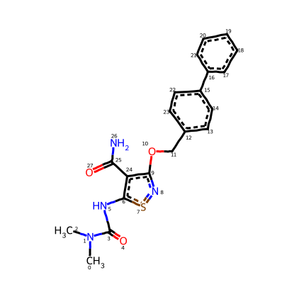 CN(C)C(=O)Nc1snc(OCc2ccc(-c3ccccc3)cc2)c1C(N)=O